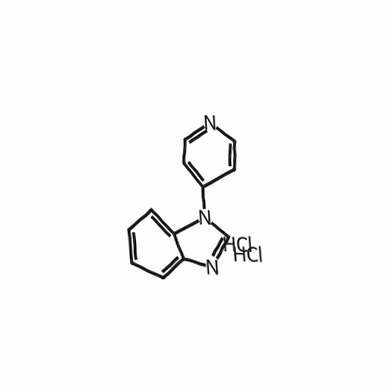 Cl.Cl.c1ccc2c(c1)ncn2-c1ccncc1